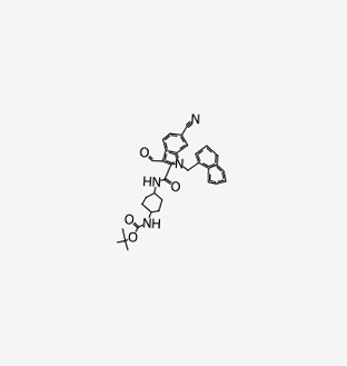 CC(C)(C)OC(=O)NC1CCC(NC(=O)c2c(C=O)c3ccc(C#N)cc3n2Cc2cccc3ccccc23)CC1